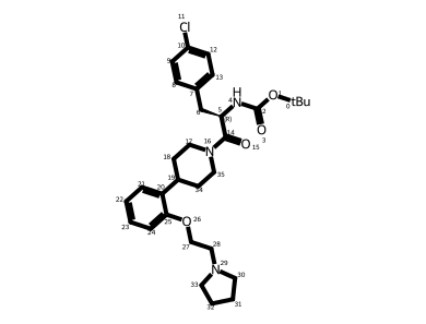 CC(C)(C)OC(=O)N[C@H](Cc1ccc(Cl)cc1)C(=O)N1CCC(c2ccccc2OCCN2CCCC2)CC1